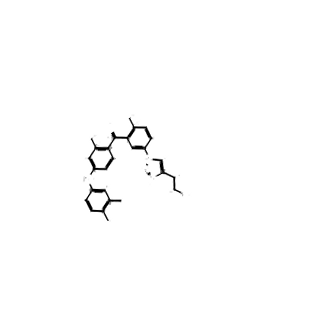 Cc1ccc(Nc2ccc(C(=O)c3cc(-n4cc(CCO)nn4)ccc3C)c(C)c2)cc1C